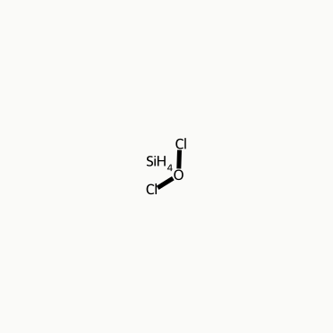 ClOCl.[SiH4]